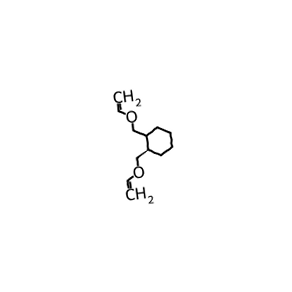 C=COCC1CCCC[C@H]1COC=C